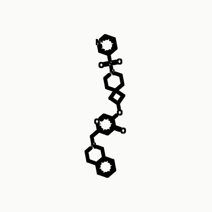 O=c1cc(CN2CCc3ccccc3C2)occ1OC1CC2(CCN(S(=O)(=O)c3cccnc3)CC2)C1